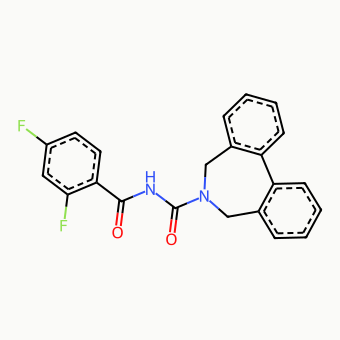 O=C(NC(=O)N1Cc2ccccc2-c2ccccc2C1)c1ccc(F)cc1F